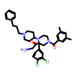 Cc1cc(C)cc(C(=O)N2CCN(C3CCN(CCCc4ccccc4)CC3)C(C(=O)CN)(c3ccc(Cl)c(Cl)c3)C2)c1